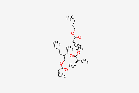 C=C(C)C(=O)OC.C=CC(=O)OCC(CC)CCCC.C=CC(=O)OCCCC